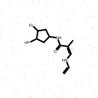 C=CN/C=C(/C)C(=O)NC1CC(CC)C(CCC)C1